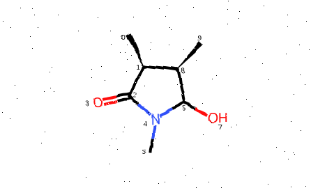 C[C@@H]1C(=O)N(C)C(O)[C@@H]1C